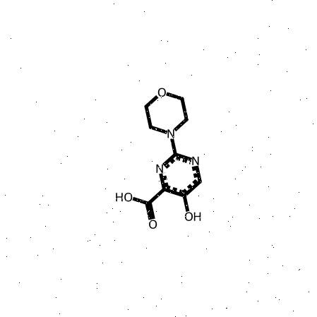 O=C(O)c1nc(N2CCOCC2)ncc1O